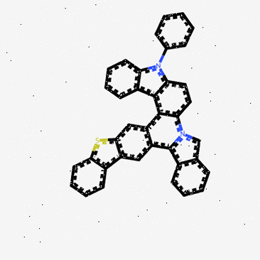 c1ccc(-n2c3ccccc3c3c4c5cc6sc7ccccc7c6cc5c5c6ccccc6cn5c4ccc32)cc1